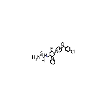 NC(=S)N/N=C/c1cc(F)c(N2CCN(C(=O)c3ccc(Cl)cc3)CC2)cc1N1CCCCC1